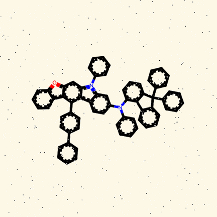 c1ccc(-c2ccc(-c3c4c(cc5c3c3ccc(N(c6ccccc6)c6cccc7c6-c6ccccc6C7(c6ccccc6)c6ccccc6)cc3n5-c3ccccc3)oc3ccccc34)cc2)cc1